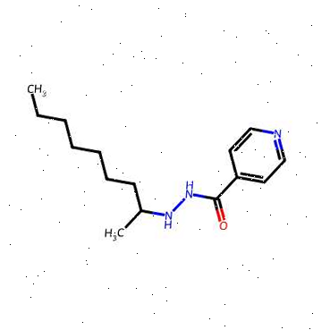 CCCCCCCC(C)NNC(=O)c1ccncc1